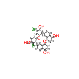 Oc1ccc(Oc2ccc(O)c(Br)c2)cc1Br.Oc1ccc(Oc2ccc(O)c3ccccc23)c2ccccc12